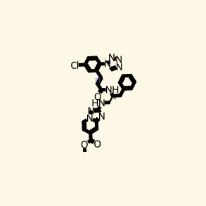 COC(=O)c1ccn2nc(NC[C@H](Cc3ccccc3)NC(=O)/C=C/c3cc(Cl)ccc3-n3cnnn3)nc2c1